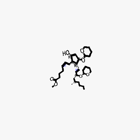 CCCC[C@H](C)C[C@H](/C=C/[C@@H]1[C@@H](C/C=C\CCCC(=O)OC)[C@H](O)C[C@H]1OC1CCCCO1)OC1CCCCO1